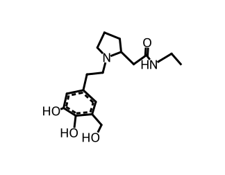 CCNC(=O)CC1CCCN1CCc1cc(O)c(O)c(CO)c1